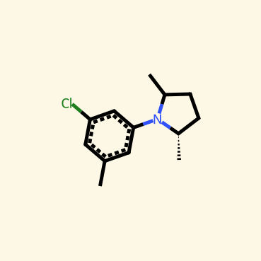 Cc1cc(Cl)cc(N2C(C)CC[C@@H]2C)c1